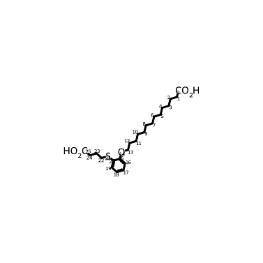 O=C(O)CCCCCCCCCCCCCOc1ccccc1SCCCC(=O)O